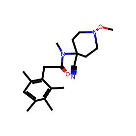 CON1CCC(C#N)(N(C)C(=O)Cc2c(C)cc(C)c(C)c2C)CC1